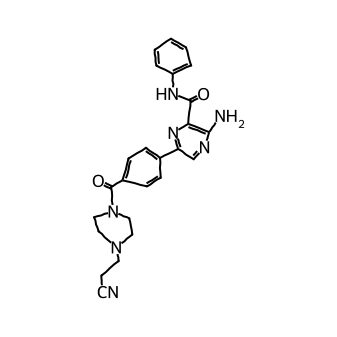 N#CCCN1CCN(C(=O)c2ccc(-c3cnc(N)c(C(=O)Nc4ccccc4)n3)cc2)CC1